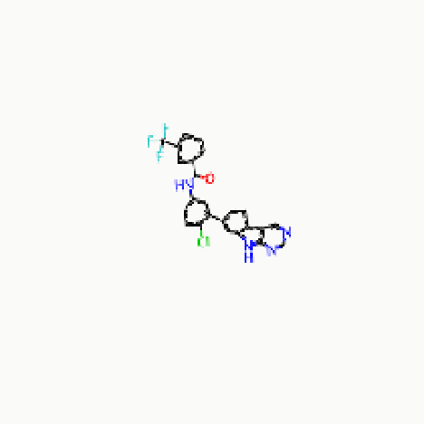 O=C(Nc1ccc(Cl)c(-c2ccc3c(c2)[nH]c2ncncc23)c1)c1cccc(C(F)(F)F)c1